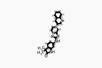 CC1(C)C(=O)Nc2cc(Nc3nc4n(n3)C=CN(c3cnc5ccccc5c3)C4)ccc21